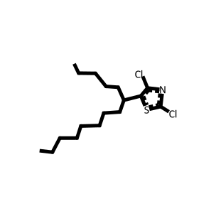 CCCCCCCCC(CCCCC)c1sc(Cl)nc1Cl